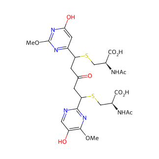 COc1nc(O)cc(C(CC(=O)CC(SC[C@H](NC(C)=O)C(=O)O)c2ncc(O)c(OC)n2)SC[C@H](NC(C)=O)C(=O)O)n1